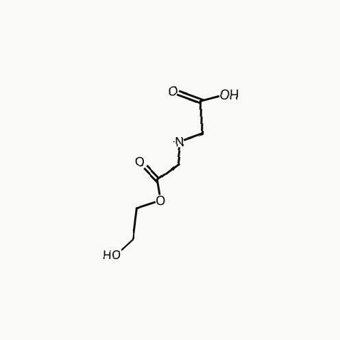 O=C(O)C[N]CC(=O)OCCO